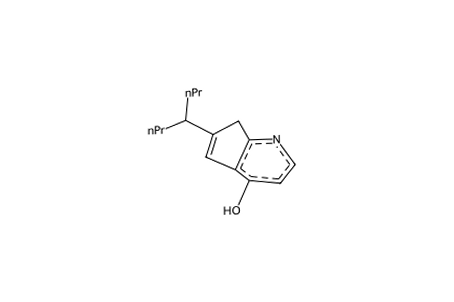 CCCC(CCC)C1=Cc2c(O)ccnc2C1